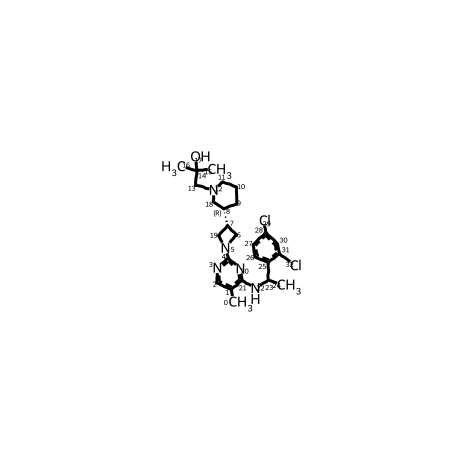 Cc1cnc(N2CC([C@H]3CCCN(CC(C)(C)O)C3)C2)nc1NC(C)c1ccc(Cl)cc1Cl